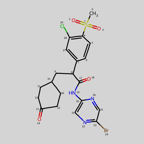 CS(=O)(=O)c1ccc(C(CC2CCC(=O)CC2)C(=O)Nc2cnc(Br)cn2)cc1Cl